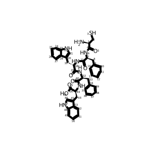 N[C@@H](CS)C(=O)N[C@@H](Cc1ccccc1)C(=O)N[C@@H](Cc1c[nH]c2ccccc12)C(=O)N[C@@H](Cc1ccccc1)C(=O)N[C@@H](Cc1c[nH]c2ccccc12)C(=O)O